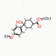 CCCCCCCCOC(=O)C1CCC(O)(c2ccc(OCC)cc2)CC1